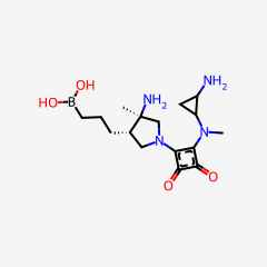 CN(c1c(N2C[C@H](CCCB(O)O)[C@@](C)(N)C2)c(=O)c1=O)C1CC1N